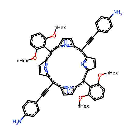 CCCCCCOc1cccc(OCCCCCC)c1-c1c2nc(c(C#Cc3ccc(N)cc3)c3ccc([nH]3)c(-c3c(OCCCCCC)cccc3OCCCCCC)c3nc(c(C#Cc4ccc(N)cc4)c4ccc1[nH]4)C=C3)C=C2